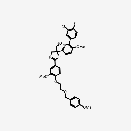 COc1ccc(COCCOc2ccc(C3=NCC(CO)(c4ccc(OC)c(-c5ccc(F)c(Cl)c5)n4)O3)cc2OC)cc1